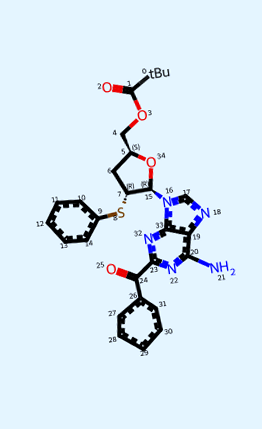 CC(C)(C)C(=O)OC[C@@H]1C[C@@H](Sc2ccccc2)[C@H](n2cnc3c(N)nc(C(=O)c4ccccc4)nc32)O1